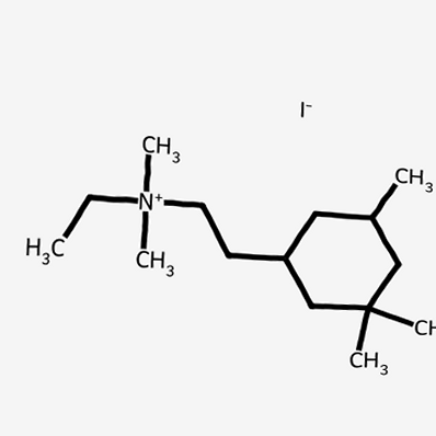 CC[N+](C)(C)CCC1CC(C)CC(C)(C)C1.[I-]